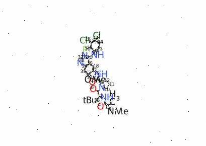 CNC(C)C(=O)NC(C(=O)N1CCCC1C(=O)Nc1cc2c(Nc3ccc(Cl)c(Cl)c3F)ncnc2cc1OC)C(C)(C)C